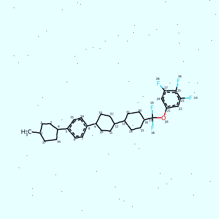 CC1CCC(c2ccc(C3CCC(C4CCC(C(F)(F)Oc5cc(F)c(F)c(F)c5)CC4)CC3)cc2)CC1